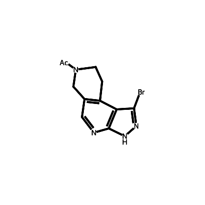 CC(=O)N1CCc2c(cnc3[nH]nc(Br)c23)C1